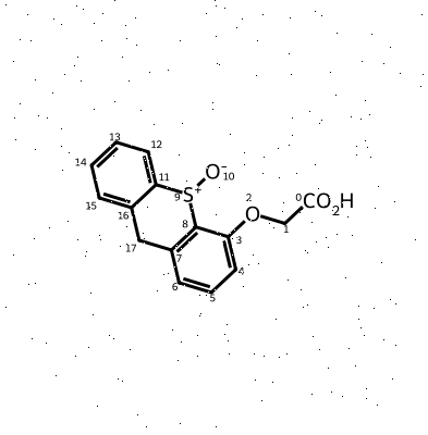 O=C(O)COc1cccc2c1[S+]([O-])c1ccccc1C2